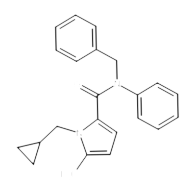 Cc1ccc(C(=O)N(Cc2ccccc2)c2ccccc2)n1CC1CC1